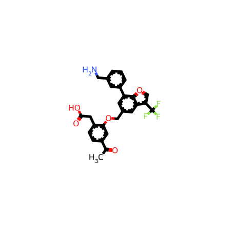 CC(=O)c1ccc(CC(=O)O)c(OCc2cc(-c3cccc(CN)c3)c3occ(C(F)(F)F)c3c2)c1